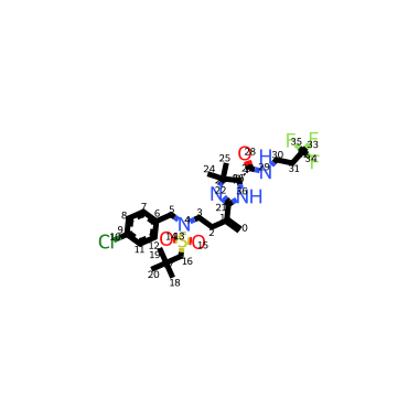 C=C(CCN(Cc1ccc(Cl)cc1)S(=O)(=O)CC(C)(C)C)C1=NC(C)(C)[C@H](C(=O)NCCC(F)(F)F)N1